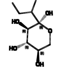 CCC(C)[C@@]1(O)OC[C@@H](O)[C@H](O)[C@H]1O